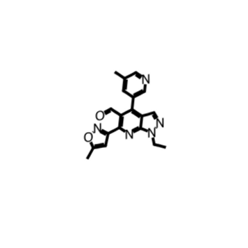 CCn1ncc2c(-c3cncc(C)c3)c(C=O)c(-c3cc(C)on3)nc21